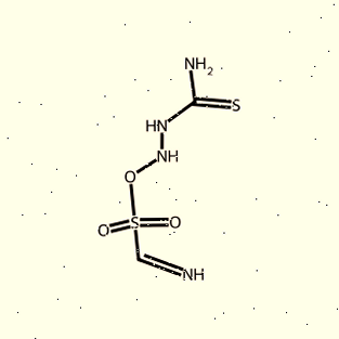 N=CS(=O)(=O)ONNC(N)=S